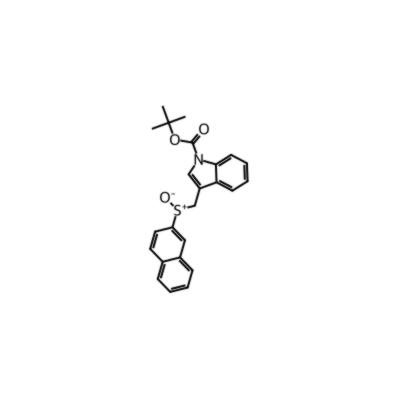 CC(C)(C)OC(=O)n1cc(C[S+]([O-])c2ccc3ccccc3c2)c2ccccc21